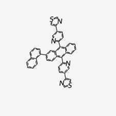 c1ccc2c(-c3ccc4c(-c5ccc(-c6cscn6)cn5)c5ccccc5c(-c5ccc(-c6cscn6)cn5)c4c3)cccc2c1